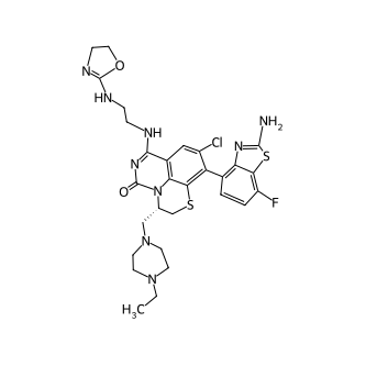 CCN1CCN(C[C@H]2CSc3c(-c4ccc(F)c5sc(N)nc45)c(Cl)cc4c(NCCNC5=NCCO5)nc(=O)n2c34)CC1